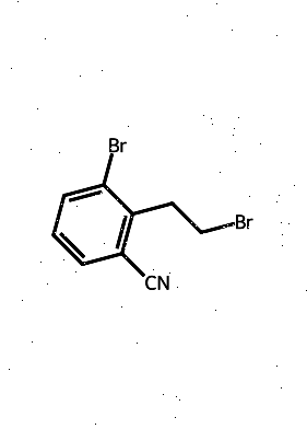 N#Cc1cccc(Br)c1CCBr